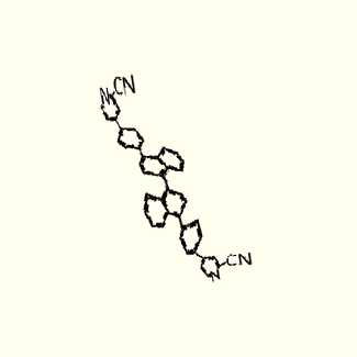 N#Cc1cc(-c2ccc(-c3ccc(-c4ccc(-c5ccc(-c6ccnc(C#N)c6)cc5)c5ccccc45)c4ccccc34)cc2)ccn1